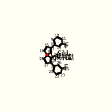 Cl.Cl.[CH3][Hf]([CH3])(=[SiH2])([C]1=C(c2cccc(F)c2)C=CC1)[C]1=C(c2cccc(F)c2)C=CC1